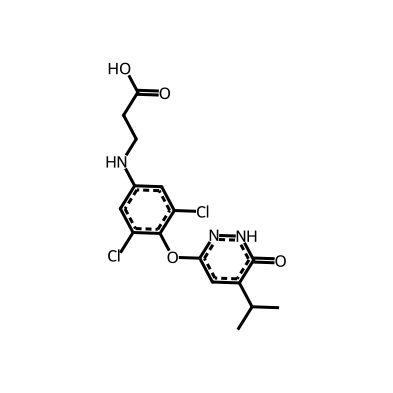 CC(C)c1cc(Oc2c(Cl)cc(NCCC(=O)O)cc2Cl)n[nH]c1=O